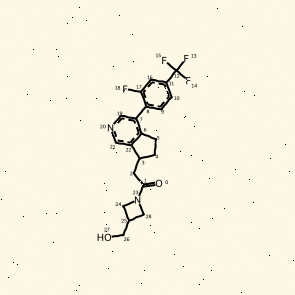 O=C(CC1CCc2c(-c3ccc(C(F)(F)F)cc3F)cncc21)N1CC(CO)C1